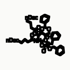 CCCCCCCCCCCCCC(=O)N[C@H]1[C@@H](OP(=O)(OCc2ccccc2)OCc2ccccc2)O[C@@H]2COC(c3ccccc3)O[C@H]2[C@@H]1OC(=O)CCCCCCCCCCCCC